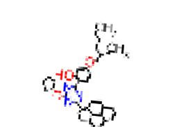 CCCCC(CC)COc1ccc(-c2nc(OC3CCCC3)nc(-c3ccc4ccc5cccc6ccc3c4c56)n2)c(O)c1